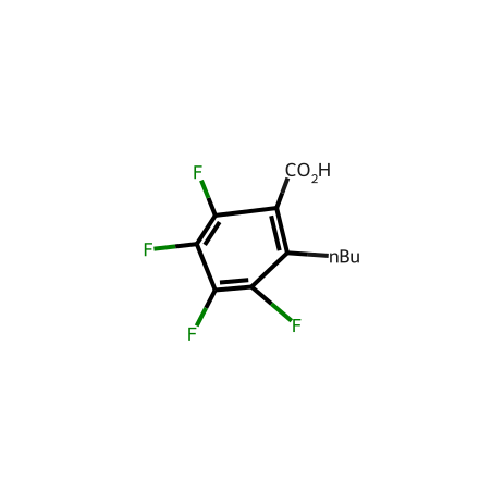 CCCCc1c(F)c(F)c(F)c(F)c1C(=O)O